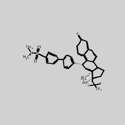 CN(C)S(=O)(=O)c1ccc(-c2ccc([C@H]3C[C@@]4(C)C(CC[C@@]4(O)C(F)(F)C(F)(F)F)C4CCC5=CC(=O)CCC5=C43)cc2)cc1